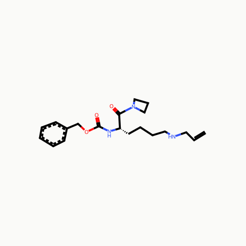 C=CCNCCCC[C@H](NC(=O)OCc1ccccc1)C(=O)N1CCC1